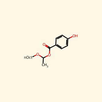 CCCCCCCCOC(C)OC(=O)c1ccc(O)cc1